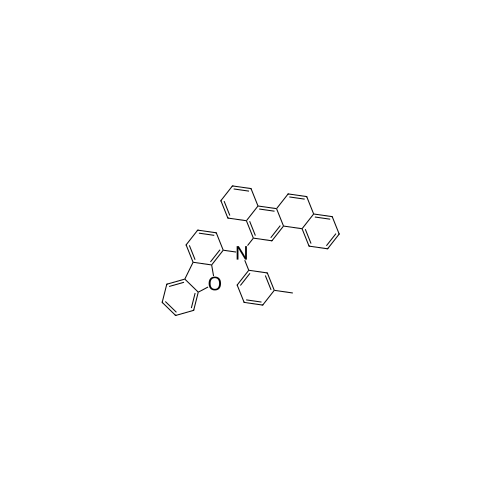 Cc1cccc(N(c2cc3c4ccccc4ccc3c3ccccc23)c2cccc3c2oc2ccccc23)c1